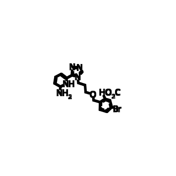 NC1C=CC=C(c2nncn2CCCOCc2ccc(Br)cc2C(=O)O)N1